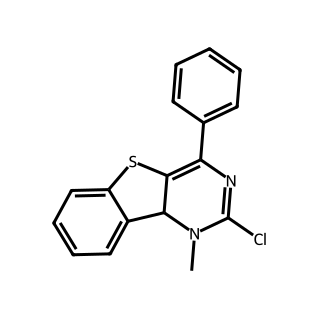 CN1C(Cl)=NC(c2ccccc2)=C2Sc3ccccc3C21